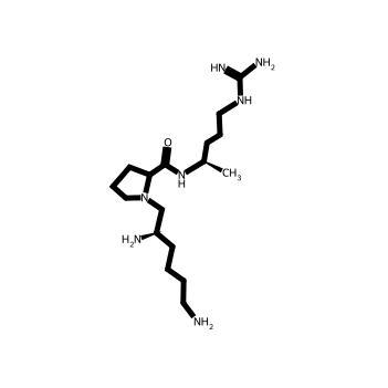 C[C@H](CCCNC(=N)N)NC(=O)C1CCCN1C[C@H](N)CCCCN